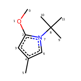 COc1cc(C)cn1C(C)(C)C